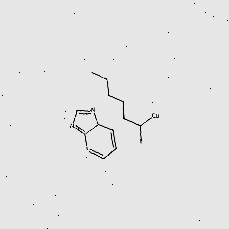 C1=CC2=NC=NC2C=C1.CCCCC[CH](C)[Cu]